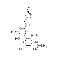 CCn1cc(CNC(=O)O[C@@H]([C@@H]2OC(C(=O)O)=C[C@H](NC(=N)N)[C@H]2NC(C)=O)[C@H](O)CO)nn1